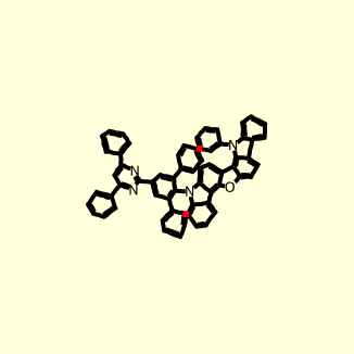 c1ccc(-c2cc(-c3ccccc3)nc(-c3cc(-c4ccccc4)c(-n4c5ccccc5c5c6oc7ccc8c9ccccc9n(-c9ccccc9)c8c7c6ccc54)c(-c4ccccc4)c3)n2)cc1